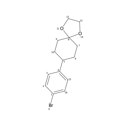 Brc1ccc(C2CCC3(CC2)OCCO3)cc1